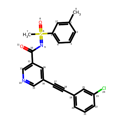 Cc1cccc(S(C)(=O)=NC(=O)c2cncc(C#Cc3cccc(Cl)c3)c2)c1